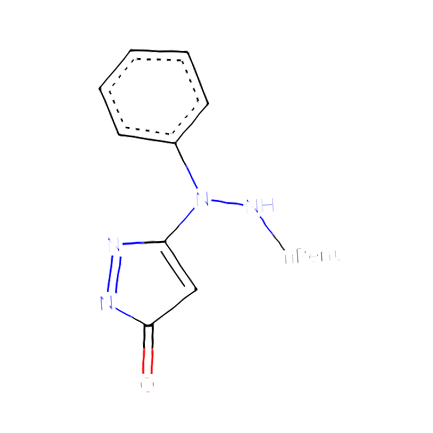 CCCCCNN(C1=CC(=O)N=N1)c1ccccc1